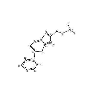 CN(C)CCC1=CC2=CC=C(c3ccccn3)CC2=N1